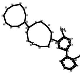 Nc1nnc(-c2ccccc2O)cc1C1CCCCCC(C2CCCCCCCCC2)CCCC1